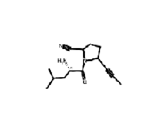 CC#CC1CCC(C#N)N1C(=O)[C@@H](N)CC(C)C